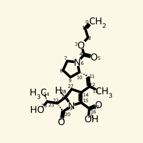 C=CCOC(=O)N1CCC[C@H]1/C=C(/C)C1=C(C(=O)O)N2C(=O)[C@H]([C@@H](C)O)[C@H]2C1